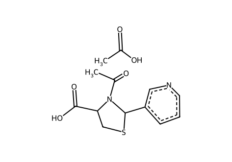 CC(=O)N1C(C(=O)O)CSC1c1cccnc1.CC(=O)O